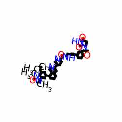 CC(C)c1cc(-c2cccc3cc(-c4ccc(C(=O)NCC#Cc5ccc6occ(N7CCC(=O)NC7=O)c6c5)nc4)ncc23)cc2c1n(C)c(=O)n2C